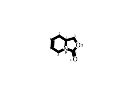 O=C1O[CH]C2CC=CCN12